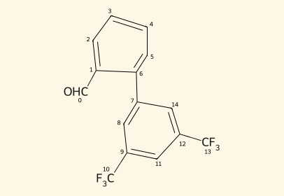 O=Cc1ccccc1-c1cc(C(F)(F)F)cc(C(F)(F)F)c1